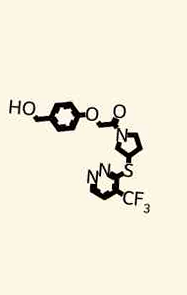 O=C(COc1ccc(CO)cc1)N1CCC(Sc2nnccc2C(F)(F)F)C1